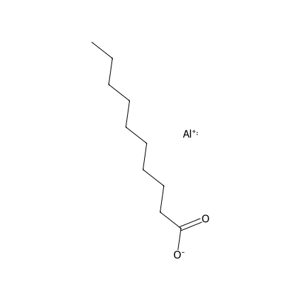 CCCCCCCCCC(=O)[O-].[Al+]